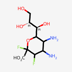 NC1C(N)C(F)C(F)(C(=O)O)OC1[C@H](O)[C@H](O)CO